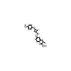 COc1ccc(OC2CC(COc3cccc(CC(C)C(=O)O)c3)C2)cc1